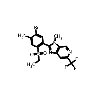 CCS(=O)(=O)c1cc(N)c(Br)cc1-c1nc2cc(C(F)(F)F)ncc2n1C